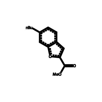 CCCCc1ccc2cc(C(=O)OC)oc2c1